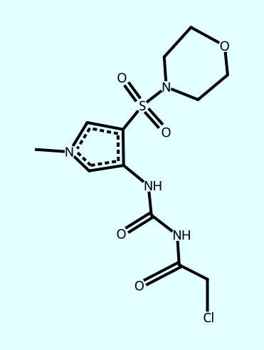 Cn1cc(NC(=O)NC(=O)CCl)c(S(=O)(=O)N2CCOCC2)c1